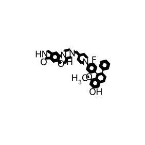 COc1cc(N2CCC(CN3CCN4c5cc6c(cc5OC[C@@H]4C3)C(=O)NC6)CC2)c(F)cc1[C@@H]1c2ccc(O)cc2CC[C@@H]1c1ccccc1